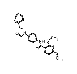 CSc1ccc(C(=O)Nc2ccc(N(C=O)CCc3ccccn3)cc2)c(SC)n1